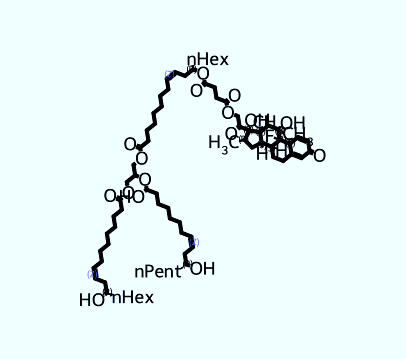 CCCCCC[C@@H](O)C/C=C\CCCCCCCC(=O)OCC(COC(=O)CCCCCCC/C=C\C[C@@H](CCCCCC)OC(=O)CCC(=O)OCC(=O)[C@@]1(O)[C@H](C)C[C@H]2[C@@H]3CCC4=CC(=O)C=C[C@]4(C)[C@@]3(F)[C@@H](O)C[C@@]21C)OC(O)CCCCCC/C=C\C[C@H](O)CCCCC